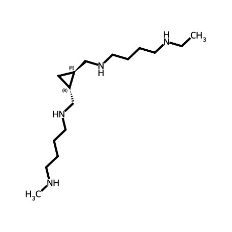 CCNCCCCNC[C@@H]1C[C@H]1CNCCCCNC